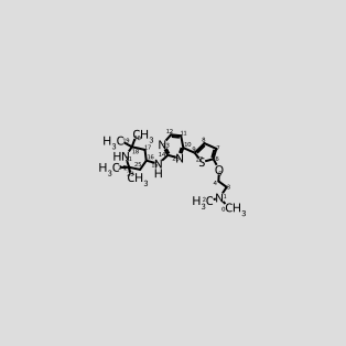 CN(C)CCOc1ccc(-c2ccnc(NC3CC(C)(C)NC(C)(C)C3)n2)s1